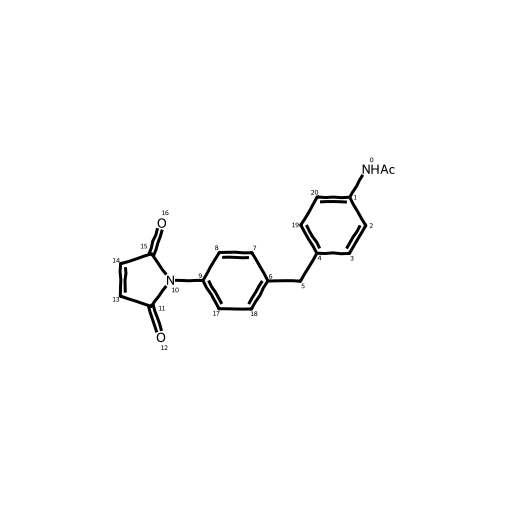 CC(=O)Nc1ccc(Cc2ccc(N3C(=O)C=CC3=O)cc2)cc1